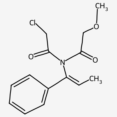 CC=C(c1ccccc1)N(C(=O)CCl)C(=O)COC